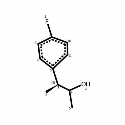 CC(O)[C@@H](C)c1ccc(F)cc1